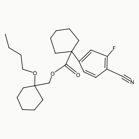 CCCCOC1(COC(=O)C2(c3ccc(C#N)c(F)c3)CCCCC2)CCCCC1